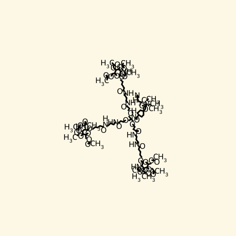 CC(=O)COC1C(COC(C)=O)OC(OCCCCC(=O)NCCCNC(=O)CCOCC(COCCC(=O)NCCCNC(=O)CCCCOC2OC(COC(C)=O)C(OC(C)=O)C(OC(C)=O)C2NC(C)=O)(COCCC(=O)NCCCNC(=O)CCCCOC2OC(COC(C)=O)C(OC(C)=O)C(OC(C)=O)C2NC(C)=O)NC(=O)C2CCC(OP(OCCC#N)N(C(C)C)C(C)C)CC2)C(NC(C)=O)C1OC(C)=O